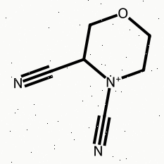 N#CC1COCC[N+]1C#N